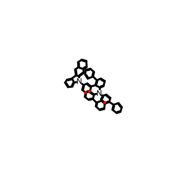 c1ccc(-c2ccc(N(c3ccccc3-c3ccccc3)c3cccc(-c4ccccc4)c3-c3cccc(-n4c5ccccc5c5cc6ccccc6cc54)c3)cc2)cc1